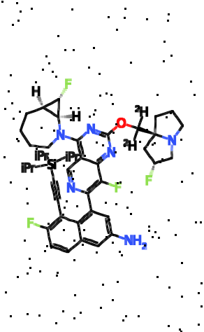 [2H]C([2H])(Oc1nc(N2CCCC[C@H]3[C@H](F)[C@H]32)c2cnc(-c3cc(N)cc4ccc(F)c(C#C[Si](C(C)C)(C(C)C)C(C)C)c34)c(F)c2n1)[C@@]12CCCN1C[C@H](F)C2